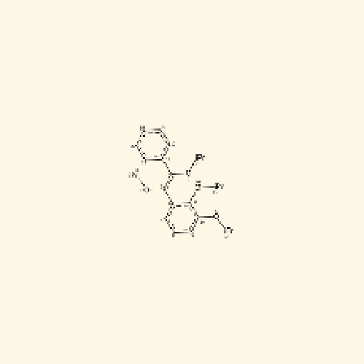 CC(C)OC(=C(OC(C)C)c1cccc(OC(C)C)c1OC(C)C)c1ccccc1